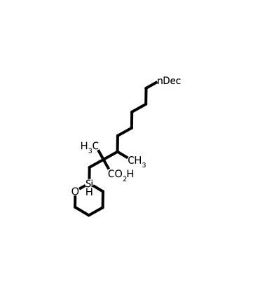 CCCCCCCCCCCCCCCC(C)C(C)(C[SiH]1CCCCO1)C(=O)O